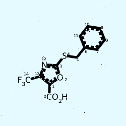 O=C(O)c1oc(SCc2ccccc2)nc1C(F)(F)F